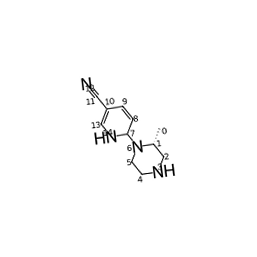 C[C@@H]1CNCCN1C1C=CC(C#N)=CN1